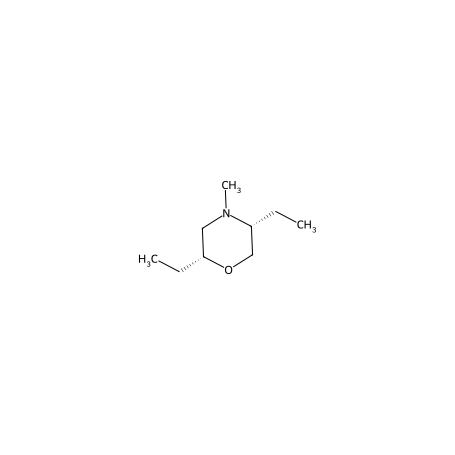 CC[C@@H]1CN(C)[C@H](CC)CO1